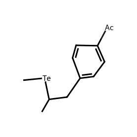 C[Te]C(C)Cc1ccc(C(C)=O)cc1